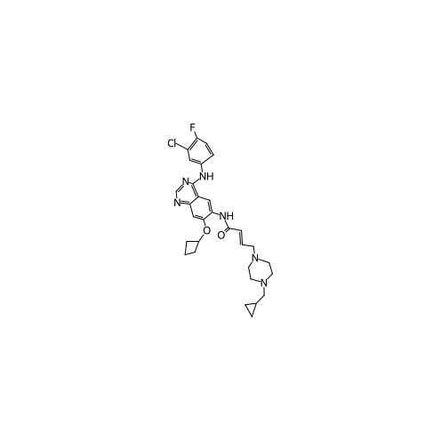 O=C(/C=C/CN1CCN(CC2CC2)CC1)Nc1cc2c(Nc3ccc(F)c(Cl)c3)ncnc2cc1OC1CCC1